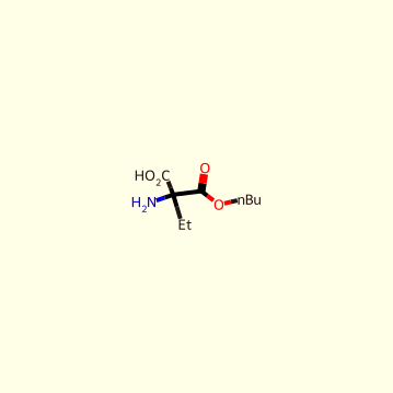 CCCCOC(=O)C(N)(CC)C(=O)O